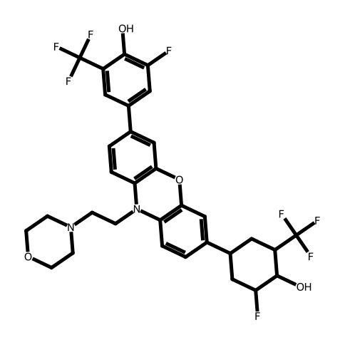 Oc1c(F)cc(-c2ccc3c(c2)Oc2cc(C4CC(F)C(O)C(C(F)(F)F)C4)ccc2N3CCN2CCOCC2)cc1C(F)(F)F